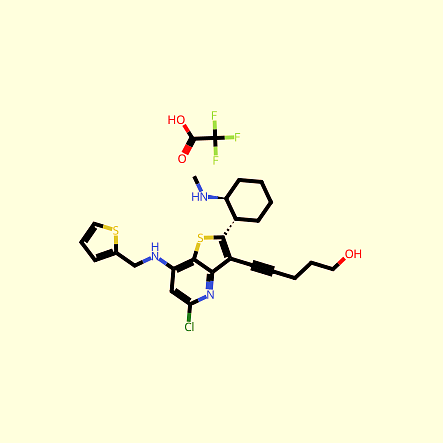 CN[C@H]1CCCC[C@@H]1c1sc2c(NCc3cccs3)cc(Cl)nc2c1C#CCCCO.O=C(O)C(F)(F)F